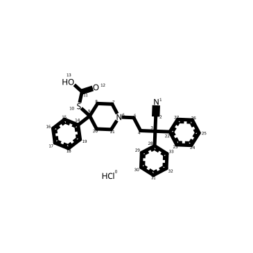 Cl.N#CC(CCN1CCC(SC(=O)O)(c2ccccc2)CC1)(c1ccccc1)c1ccccc1